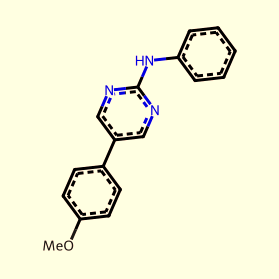 COc1ccc(-c2cnc(Nc3ccccc3)nc2)cc1